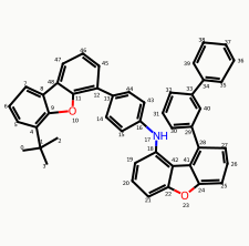 CC(C)(C)c1cccc2c1oc1c(-c3ccc(Nc4cccc5oc6cccc(-c7cccc(-c8ccccc8)c7)c6c45)cc3)cccc12